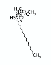 CCCCCCCCCCCCCCCCCC[N+](C)(S)C(=S)C(CC(=O)OC)C(=O)OC